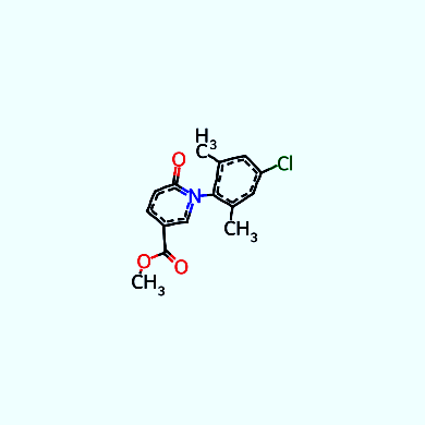 COC(=O)c1ccc(=O)n(-c2c(C)cc(Cl)cc2C)c1